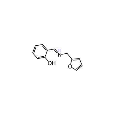 Oc1ccccc1/C=N/Cc1ccco1